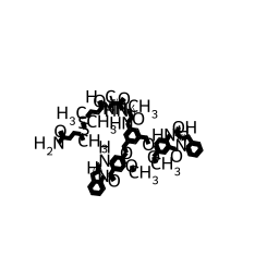 COc1cc2c(cc1OCc1cc(COc3cc4c(cc3OC)C(=O)N3c5ccccc5C[C@H]3C(O)N4)cc(NC(=O)[C@@H](C)NC(=O)[C@H](C)NC(=O)CCC(C)(C)SSC(C)CCC(N)=O)c1)NC[C@@H]1Cc3ccccc3N1C2=O